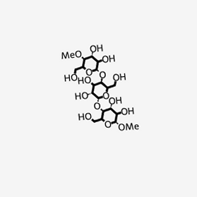 CO[C@@H]1OC(CO)[C@@H](O[C@H]2OC(CO)[C@H](O[C@@H]3OC(CO)[C@@H](OC)[C@H](O)C3O)C(O)[C@H]2O)[C@H](O)C1O